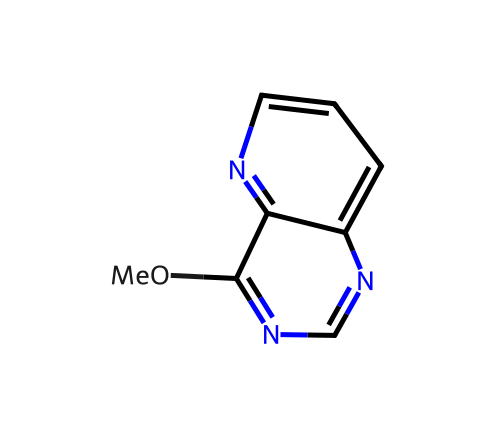 COc1ncnc2cccnc12